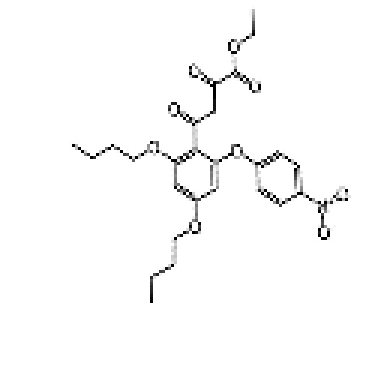 CCCCOc1cc(OCCCC)c(C(=O)CC(=O)C(=O)OCC)c(Oc2ccc([N+](=O)[O-])cc2)c1